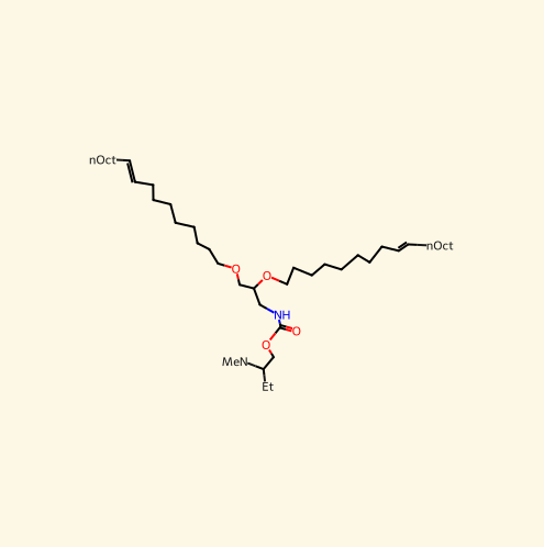 CCCCCCCCC=CCCCCCCCCOCC(CNC(=O)OCC(CC)NC)OCCCCCCCCC=CCCCCCCCC